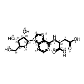 O=C(O)C[C@H](Nc1ncnc2c1ncn2[C@H]1OC(CO)[C@H](O)[C@@H]1O)C(=O)O